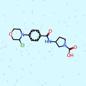 O=C(NC1CCN(C(=O)O)C1)c1ccc(N2CCOCC2Cl)cc1